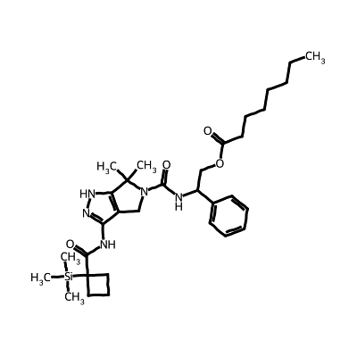 CCCCCCCC(=O)OCC(NC(=O)N1Cc2c(NC(=O)C3([Si](C)(C)C)CCC3)n[nH]c2C1(C)C)c1ccccc1